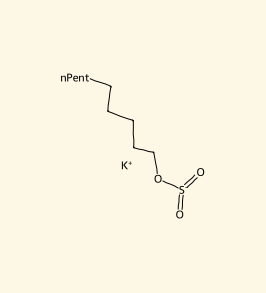 CCCCCCCCCCO[S-](=O)=O.[K+]